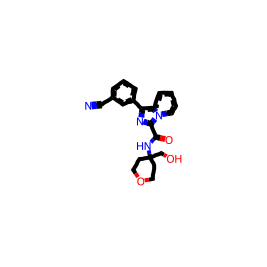 N#Cc1cccc(-c2nc(C(=O)NC3(CO)CCOCC3)n3ccccc23)c1